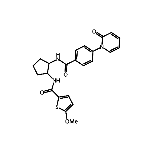 COc1ccc(C(=O)NC2CCCC2NC(=O)c2ccc(-n3ccccc3=O)cc2)s1